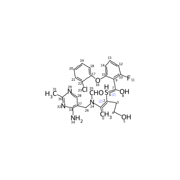 C/C(=C(CCO)/[SH]=C(\O)c1c(F)cccc1Oc1ccccc1Cl)N(C=O)Cc1cnc(C)nc1N